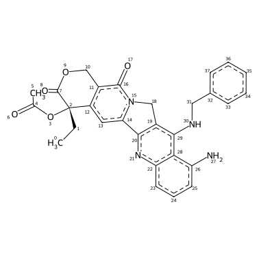 CC[C@@]1(OC(C)=O)C(=O)OCc2c1cc1n(c2=O)Cc2c-1nc1cccc(N)c1c2NCc1ccccc1